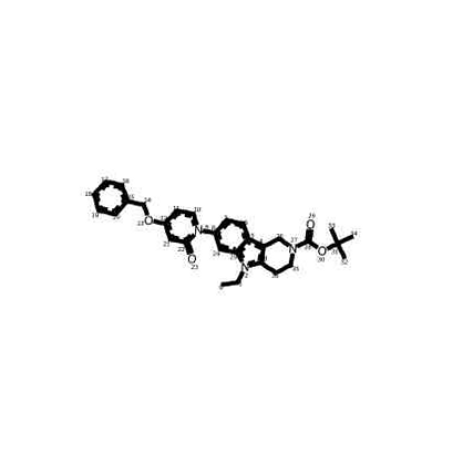 CCn1c2c(c3ccc(-n4ccc(OCc5ccccc5)cc4=O)cc31)CN(C(=O)OC(C)(C)C)CC2